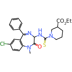 CCOC(=O)C1CCCN(C(=S)NC2N=C(c3ccccc3)c3cc(Cl)ccc3N(C)C2=O)C1